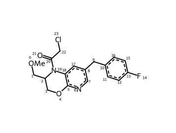 COCC1COc2ncc(Cc3ccc(F)cc3)cc2N1C(=O)CCl